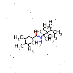 CC(CC(C)C(C)C)C(=O)NC(C)(C)C(C)(C)C(C)C